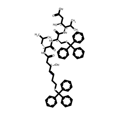 CC(C)C[C@@H](NC(=O)C[C@H](O)/C=C/CCSC(c1ccccc1)(c1ccccc1)c1ccccc1)C(=O)N[C@H](CSC(c1ccccc1)(c1ccccc1)c1ccccc1)C(=O)N[C@H](C(C)C)[C@@H](O)CC(=O)O